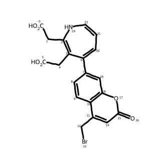 O=C(O)CC1=C(CC(=O)O)C(c2ccc3c(CBr)cc(=O)oc3c2)=CC=CN1